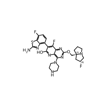 Nc1nc2c(-c3c(O)nc4c(N5CCNCC5)nc(OC[C@@]56CCCN5C[C@H](F)C6)nc4c3F)ccc(F)c2s1